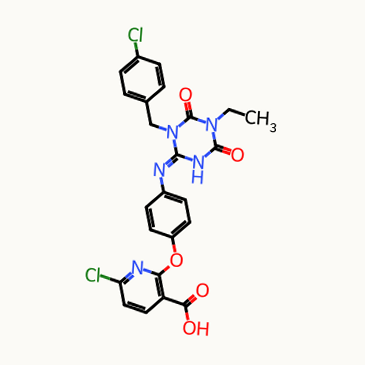 CCn1c(=O)[nH]/c(=N\c2ccc(Oc3nc(Cl)ccc3C(=O)O)cc2)n(Cc2ccc(Cl)cc2)c1=O